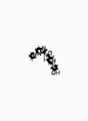 O=C(Nc1cnc2ccc(N3CCCC3)nn12)c1ccc(N2CCC(O)C2)nc1